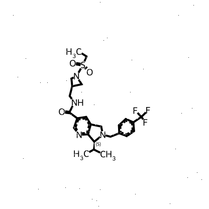 CCS(=O)(=O)N1CC(CNC(=O)c2cnc3c(c2)CN(Cc2ccc(C(F)(F)F)cc2)[C@H]3C(C)C)C1